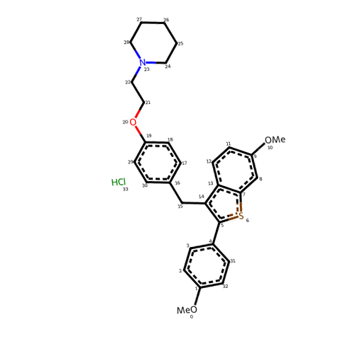 COc1ccc(-c2sc3cc(OC)ccc3c2Cc2ccc(OCCN3CCCCC3)cc2)cc1.Cl